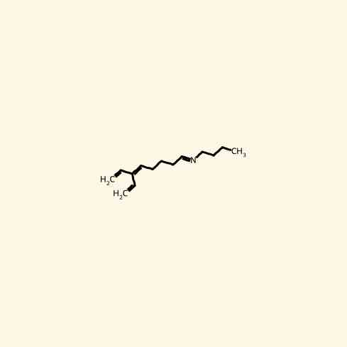 C=CC(C=C)=CCCC/C=N/CCCC